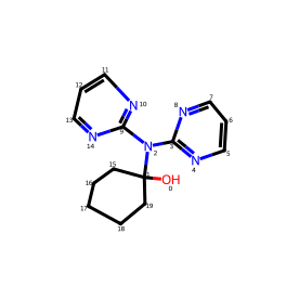 OC1(N(c2ncccn2)c2ncccn2)CCCCC1